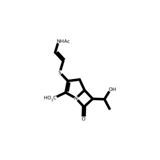 CC(=O)NC=CSC1=C(C(=O)O)N2C(=O)C(C(C)O)C2C1